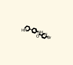 O=C(NC1=CCC([C@@H]2CCCNC2)C=C1)c1ccc(Br)nc1